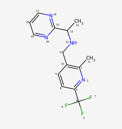 Cc1nc(C(F)(F)F)ccc1CNC(C)c1ncccn1